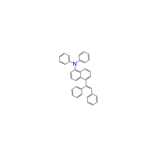 C(=C(c1ccccc1)c1cccc2c(N(c3ccccc3)c3ccccc3)cccc12)c1ccccc1